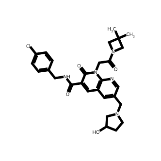 CC1(C)CN(C(=O)Cn2c(=O)c(C(=O)NCc3ccc(Cl)cc3)cc3cc(CN4CCC(O)C4)cnc32)C1